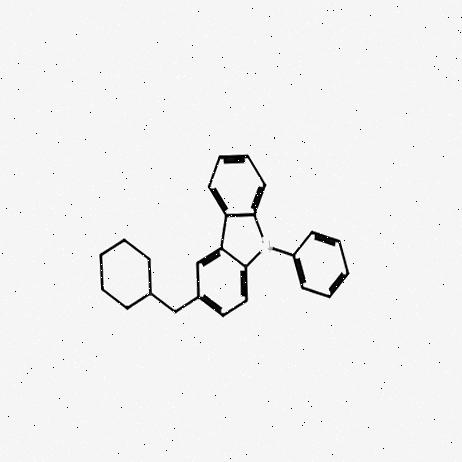 c1ccc(-n2c3ccccc3c3cc(CC4CCCCC4)ccc32)cc1